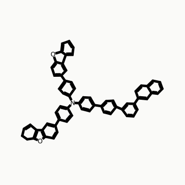 C1=Cc2c(oc3ccc(-c4ccc(N(c5ccc(-c6ccc(-c7cccc(-c8ccc9ccccc9c8)c7)cc6)cc5)c5ccc(-c6ccc7oc8ccccc8c7c6)cc5)cc4)cc23)CC1